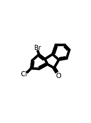 O=C1c2ccccc2-c2c(Br)cc(Cl)cc21